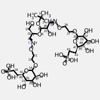 CC(C)(C)O[C@H](O[C@@H](/C=N/OCCOC1O[C@H](CCP(=O)(O)O)[C@@H](O)[C@H](O)[C@@H]1O)CO)[C@H](O)/C=N\OCCOC1O[C@H](CCP(=O)(O)O)[C@@H](O)[C@H](O)[C@@H]1O